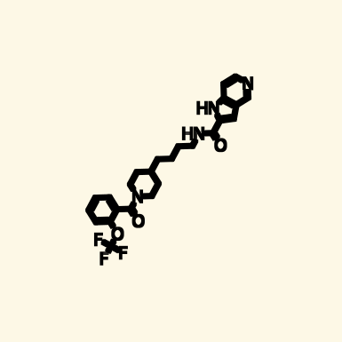 O=C(NCCCCC1CCN(C(=O)c2ccccc2OC(F)(F)F)CC1)c1cc2cnccc2[nH]1